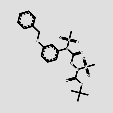 CC(C)(C)OC(=O)N(OC(=O)N(c1cccc(OCc2ccccc2)c1)S(C)(=O)=O)S(C)(=O)=O